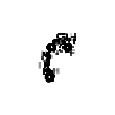 CCc1cc(F)cc(C)c1C(=O)NC(Cc1ccc(-c2cc(CNc3nc4ccccc4[nH]3)on2)cc1)C(=O)O